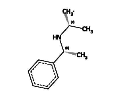 [CH2][C@H](C)N[C@H](C)c1ccccc1